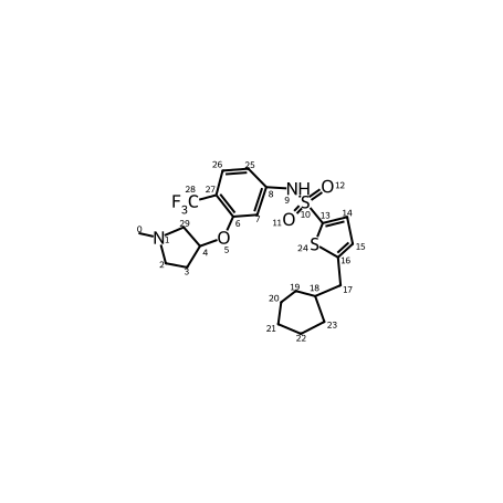 CN1CCC(Oc2cc(NS(=O)(=O)c3ccc(CC4CCCCC4)s3)ccc2C(F)(F)F)C1